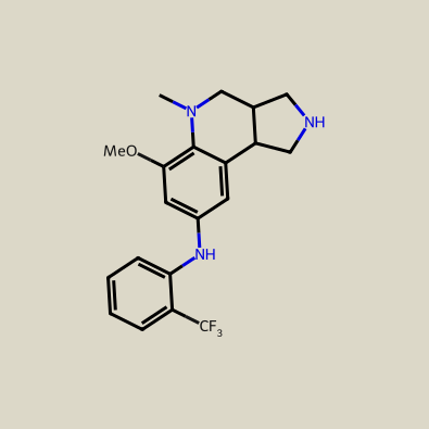 COc1cc(Nc2ccccc2C(F)(F)F)cc2c1N(C)CC1CNCC21